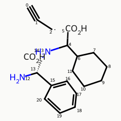 C#C[CH2].NC(C(=O)O)C1CCCCC1.N[C@H](C(=O)O)c1ccccc1